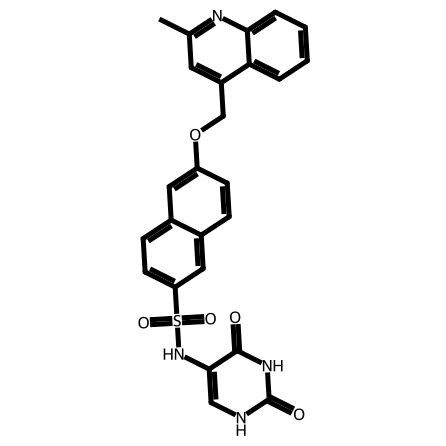 Cc1cc(COc2ccc3cc(S(=O)(=O)Nc4c[nH]c(=O)[nH]c4=O)ccc3c2)c2ccccc2n1